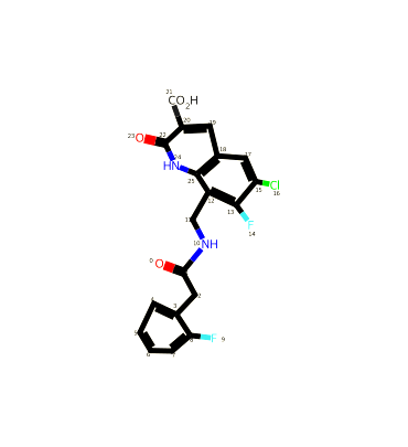 O=C(Cc1ccccc1F)NCc1c(F)c(Cl)cc2cc(C(=O)O)c(=O)[nH]c12